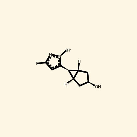 CC(C)n1nc(I)cc1[C@H]1[C@@H]2C[C@@H](O)C[C@@H]21